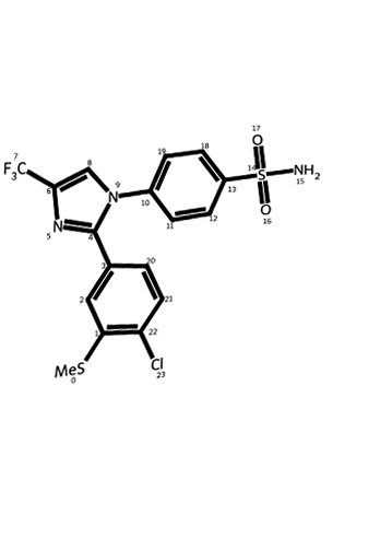 CSc1cc(-c2nc(C(F)(F)F)cn2-c2ccc(S(N)(=O)=O)cc2)ccc1Cl